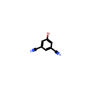 N#Cc1[c]c(C#N)cc(Br)c1